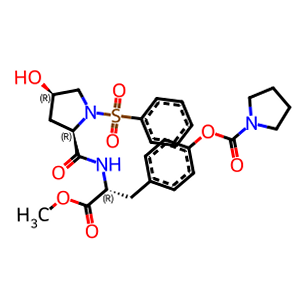 COC(=O)[C@@H](Cc1ccc(OC(=O)N2CCCC2)cc1)NC(=O)[C@H]1C[C@@H](O)CN1S(=O)(=O)c1ccccc1